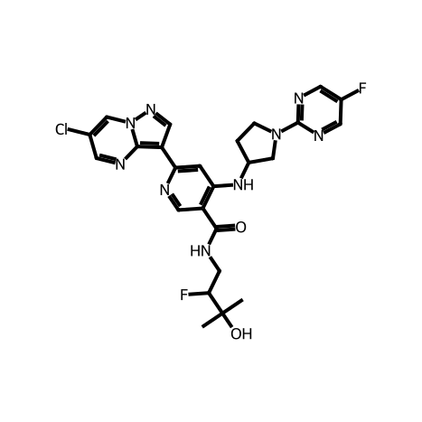 CC(C)(O)C(F)CNC(=O)c1cnc(-c2cnn3cc(Cl)cnc23)cc1NC1CCN(c2ncc(F)cn2)C1